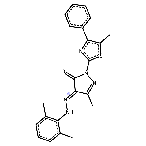 CC1=NN(c2nc(-c3ccccc3)c(C)s2)C(=O)/C1=N/Nc1c(C)cccc1C